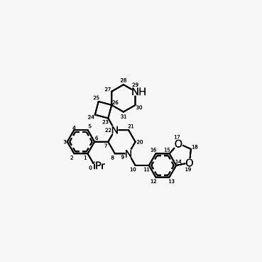 CC(C)c1ccccc1C1CN(Cc2ccc3c(c2)OCO3)CCN1C1CCC12CCNCC2